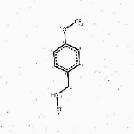 CCNCc1ccc(OC(F)(F)F)cc1